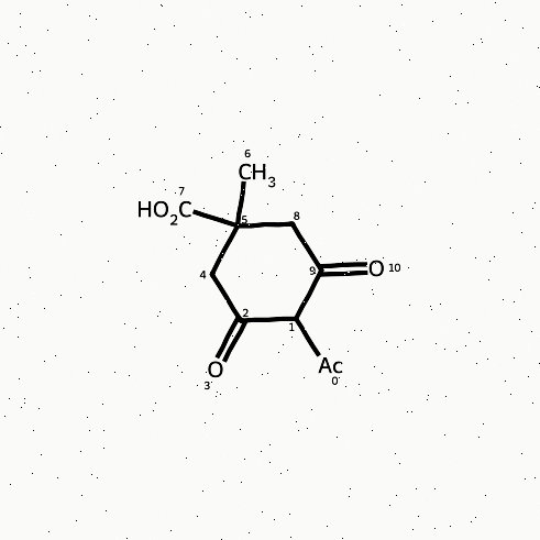 CC(=O)C1C(=O)CC(C)(C(=O)O)CC1=O